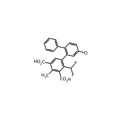 Cc1c(C(=O)O)cc(-c2cc(Cl)ccc2-c2ccccc2)c(C(F)F)c1C(=O)O